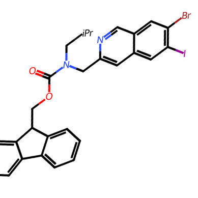 CC(C)CN(Cc1cc2cc(I)c(Br)cc2cn1)C(=O)OCC1c2ccccc2-c2ccccc21